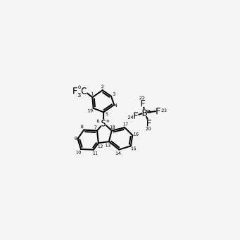 FC(F)(F)c1cccc(-[s+]2c3ccccc3c3ccccc32)c1.F[B-](F)(F)F